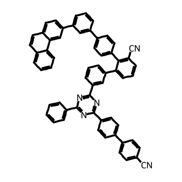 N#Cc1ccc(-c2ccc(-c3nc(-c4ccccc4)nc(-c4cccc(-c5cccc(C#N)c5-c5ccc(-c6cccc(-c7ccc8ccc9ccccc9c8c7)c6)cc5)c4)n3)cc2)cc1